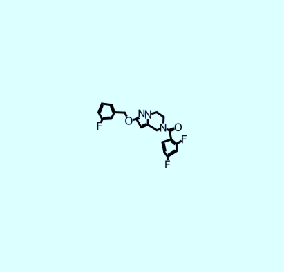 O=C(c1ccc(F)cc1F)N1CCn2nc(OCc3cccc(F)c3)cc2C1